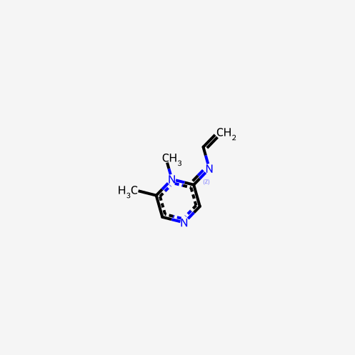 C=C/N=c1/cncc(C)n1C